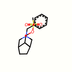 CS(=O)(=O)OCC1C2CCC1CN(Cc1ccccc1)C2